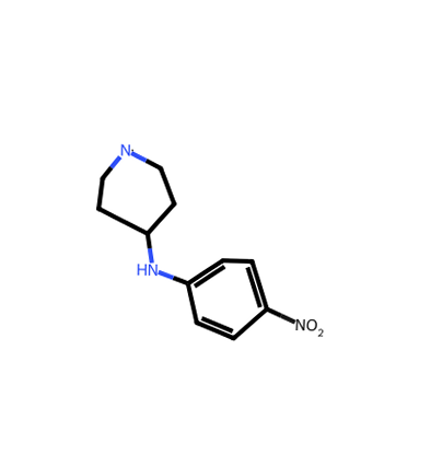 O=[N+]([O-])c1ccc(NC2CC[N]CC2)cc1